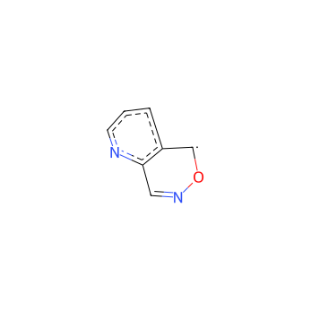 [CH]1ON=Cc2ncccc21